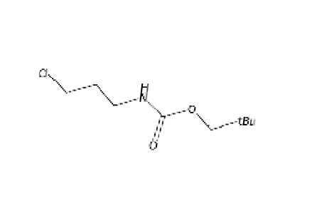 CC(C)(C)COC(=O)NCCCCl